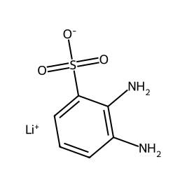 Nc1cccc(S(=O)(=O)[O-])c1N.[Li+]